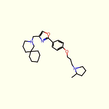 CC1CCCN1CCCOc1ccc(-c2nc(CN3CCCC4(CCCCC4)C3)co2)cc1